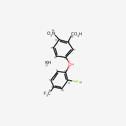 O=C(O)c1cc(Oc2ccc(C(F)(F)F)cc2F)ccc1[N+](=O)[O-].[KH]